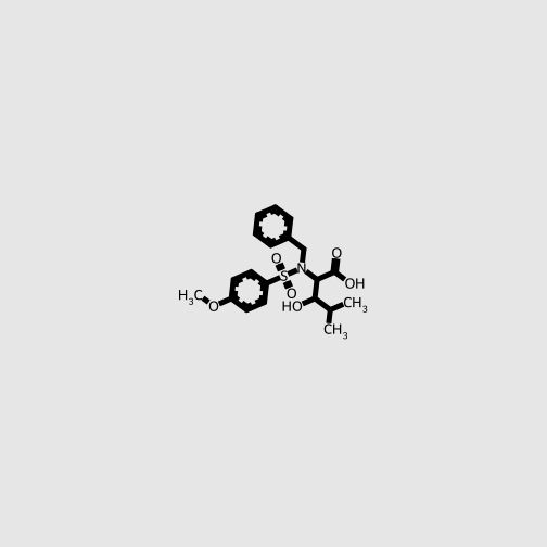 COc1ccc(S(=O)(=O)N(Cc2ccccc2)C(C(=O)O)C(O)C(C)C)cc1